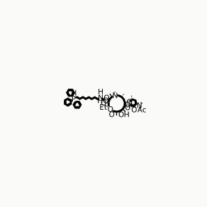 CC[C@H]1OC(=O)[C@H](C)[C@@H](O)[C@H](C)[C@@H](O[C@@H]2O[C@H](C)C[C@H](N(C)C)[C@H]2OC(C)=O)[C@](C)(O)C[C@@H](C)CN(C)[C@H](C)[C@@H](OC(=O)NCCCCCCCC[PH](c2ccccc2)(c2ccccc2)c2ccccc2)[C@]1(C)O